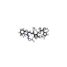 CC/C=C(C)/C(=C\C=C(/C)c1coc(C)c1COC(=O)N(C)C1CCCC1)OC1CCCCC1